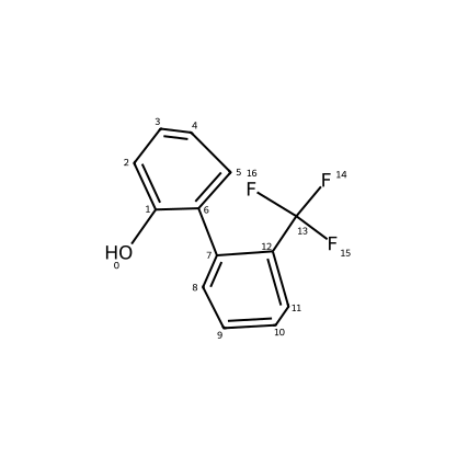 Oc1ccccc1-c1ccccc1C(F)(F)F